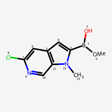 COB(O)c1cc2cc(Cl)ncc2n1C